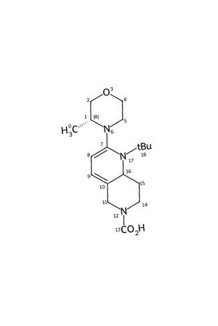 C[C@@H]1COCCN1C1=CC=C2CN(C(=O)O)CCC2N1C(C)(C)C